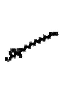 NC(=O)CC(O)C(=O)NCCCCCCCCCCCC=O